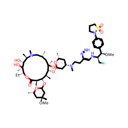 CC[C@H]1OC(=O)[C@H](C)[C@@H](OC2C[C@@](C)(OC)C[C@H](C)O2)[C@H](C)[C@@H](O[C@H]2C[C@@H](N(C)CC/C(=C/N[C@H](CF)[C@H](OC)c3ccc(N4CCCS4(=O)=O)cc3)N=N)C[C@@H](C)O2)[C@](C)(O)C[C@@H](C)CN(C)[C@H](C)[C@@H](O)[C@]1(C)O